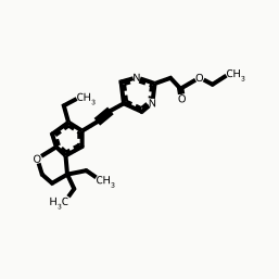 CCOC(=O)Cc1ncc(C#Cc2cc3c(cc2CC)OCCC3(CC)CC)cn1